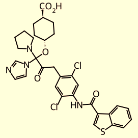 O=C(Nc1cc(Cl)c(CC(=O)C(O[C@H]2CC[C@H](C(=O)O)CC2)(N2CCCC2)n2ccnc2)cc1Cl)c1csc2ccccc12